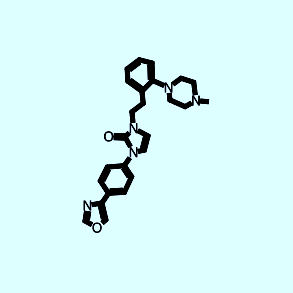 CN1CCN(c2ccccc2CCn2ccn(-c3ccc(-c4cocn4)cc3)c2=O)CC1